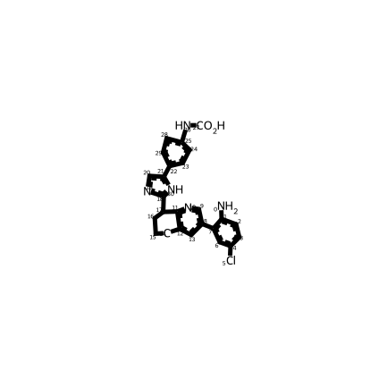 Nc1ccc(Cl)cc1-c1cnc2c(c1)CCCC2c1ncc(-c2ccc(NC(=O)O)cc2)[nH]1